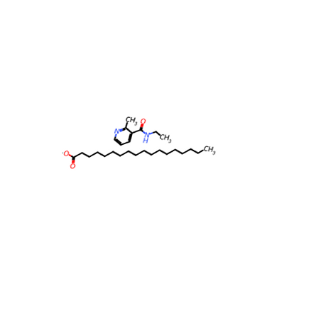 CCCCCCCCCCCCCCCCCC([O])=O.CCNC(=O)c1cccnc1C